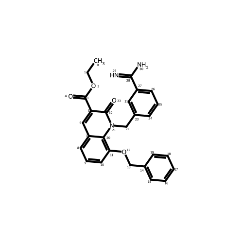 CCOC(=O)c1cc2cccc(OCc3ccccc3)c2n(Cc2cccc(C(=N)N)c2)c1=O